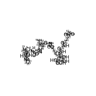 Cc1c(-c2ccc(-c3ccc4c(c3)N(C(=O)Nc3nc5ccccc5s3)CCN4C)nc2C(=O)O)cnn1CC12CC(OCCN(C)C(=O)OC/C=C/c3ccc(O[C@@H]4O[C@H](C(=O)O)[C@@H](O)[C@H](O)[C@H]4O)c(NC(=O)CCNC(=O)CCCCCN4C(=O)C=CC4=O)c3)C3CCC(C)(C1)CC3(C)C2